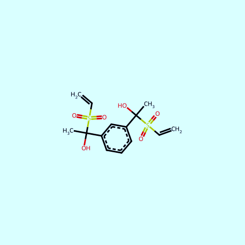 C=CS(=O)(=O)C(C)(O)c1cccc(C(C)(O)S(=O)(=O)C=C)c1